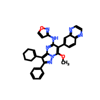 COc1c(-c2ccc3nccnc3c2)c(Nc2ccon2)nc2c(C3=CCCCC3)c(-c3ccccc3)nn12